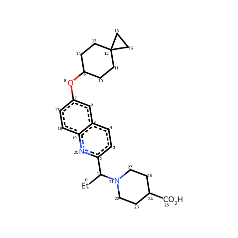 CCC(c1ccc2cc(OC3CCC4(CC3)CC4)ccc2n1)N1CCC(C(=O)O)CC1